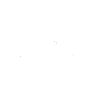 c1ccc(N(c2ccccc2)c2ccc(N(c3ccccc3)c3ccc(-c4ccc5c(c4)c4ccccc4n5-c4ccccc4)cc3)cc2)cc1